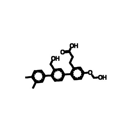 Cc1ccc(-c2ccc(-c3ccc(OCO)cc3CCC(=O)O)cc2CO)cc1C